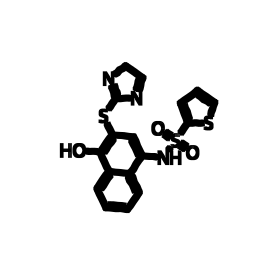 O=S(=O)(Nc1cc(SC2=NCC=N2)c(O)c2ccccc12)c1cccs1